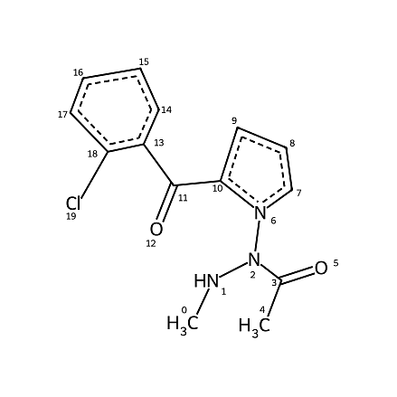 CNN(C(C)=O)n1cccc1C(=O)c1ccccc1Cl